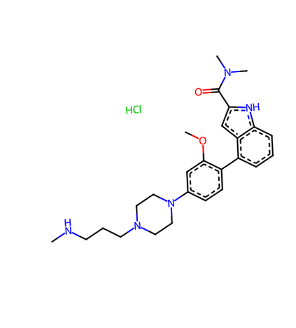 CNCCCN1CCN(c2ccc(-c3cccc4[nH]c(C(=O)N(C)C)cc34)c(OC)c2)CC1.Cl